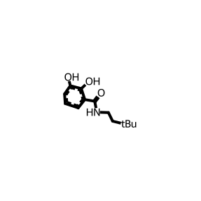 CC(C)(C)CCNC(=O)c1cccc(O)c1O